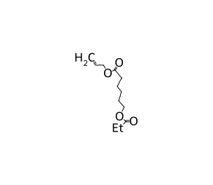 C=CCOC(=O)CCCCCOC(=O)CC